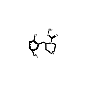 CC(C)(C)OC(=O)N1CCNCC1Cc1cc(N)ccc1Cl